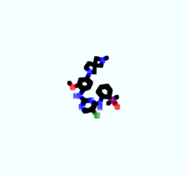 COc1cc(N2CCC3(CN(C)C3)C2)ccc1Nc1ncc(Cl)c(Nc2ccccc2P(C)(C)=O)n1